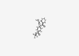 COC(=O)[C@@H]1CCCC[C@H]1C(=O)Cc1ccc(C(=O)OC(C)(C)C)cc1